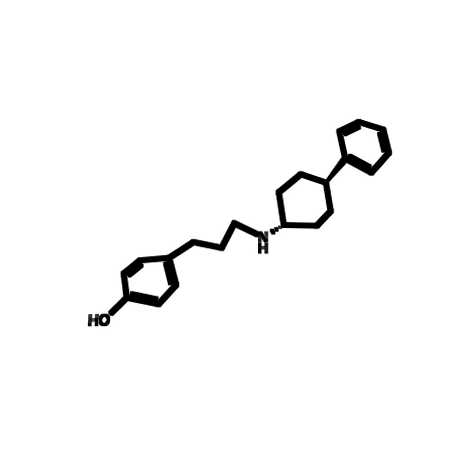 Oc1ccc(CCCN[C@H]2CC[C@H](c3ccccc3)CC2)cc1